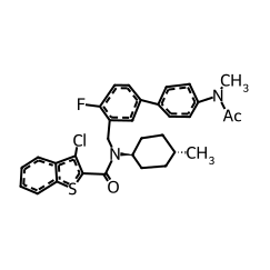 CC(=O)N(C)c1ccc(-c2ccc(F)c(CN(C(=O)c3sc4ccccc4c3Cl)[C@H]3CC[C@H](C)CC3)c2)cc1